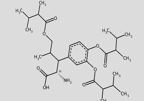 CC(C)C(C)C(=O)OCC(C)C(c1ccc(OC(=O)C(C)C(C)C)c(OC(=O)C(C)C(C)C)c1)[C@H](N)C(=O)O